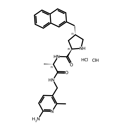 Cc1nc(N)ccc1CNC(=O)[C@H](C)NC(=O)[C@H]1C[C@H](Cc2ccc3ccccc3c2)CN1.Cl.Cl